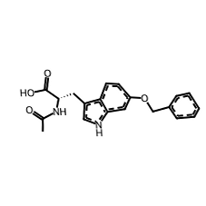 CC(=O)N[C@@H](Cc1c[nH]c2cc(OCc3ccccc3)ccc12)C(=O)O